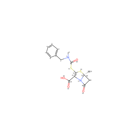 CN(Cc1ccccc1)C(=O)SC1=C(C(=O)O)N2C(=O)C[C@@H]2S1